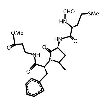 COC(=O)CCNC(=O)[C@H](Cc1ccccc1)N1C(=O)[C@@H](NC(=O)[C@H](CCSC)NC=O)CC1C